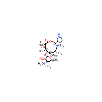 CO[C@]1(C)C[C@@H](C)CN(C)[C@@H](C2CCCNC2)COC(=O)C(C)(C)C(=O)[C@H](C)[C@H]1O[C@@H]1O[C@H](C)C[C@H](N(C)C)[C@H]1O